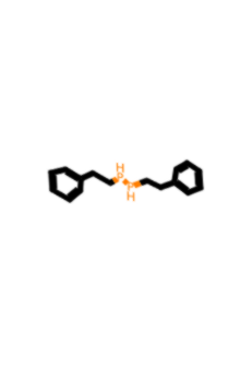 c1ccc(CCPPCCc2ccccc2)cc1